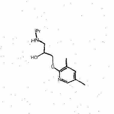 Cc1cnc(OCC(O)CNC(C)C)c(C)c1